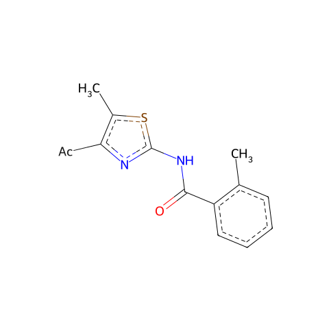 CC(=O)c1nc(NC(=O)c2ccccc2C)sc1C